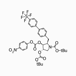 CC(C)(C)OC(=O)O[C@H]1CN(C(=O)OC(C)(C)C)[C@H](Cc2ccc(-c3ccc(S(F)(F)(F)(F)F)cc3)cc2)[C@@H]1OC(=O)Oc1ccc([N+](=O)[O-])cc1